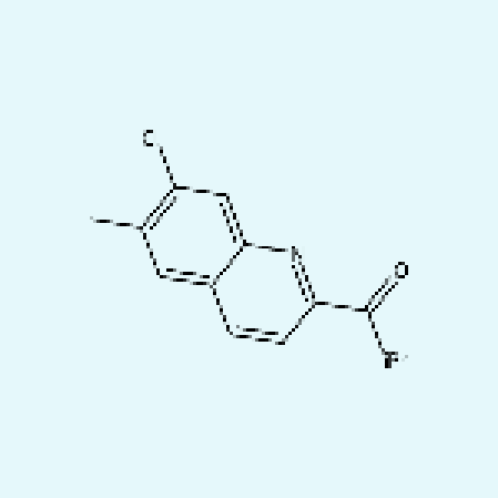 Cc1cc2ccc(C(=O)C(C)C)nc2cc1Cl